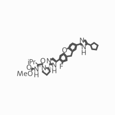 COC(=O)N[C@H](C(=O)N1CCC[C@H]1c1ncc(-c2cc3c(cc2F)Cc2cc(-c4ncc(C5CCCC5)[nH]4)ccc2O3)[nH]1)C(C)C